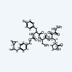 CC(C)CC(NC(=O)C(Cc1ccc(F)cc1)NC(=O)OCc1ccc(CN(C)C2CC2)cc1)C(=O)NC(C[C@@H]1CCNC1=O)C(=O)C(=O)NC(C)C